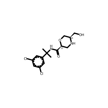 CC(C)(NC(=O)[C@@H]1CN[C@H](CO)CO1)c1cc(Cl)cc(Cl)c1